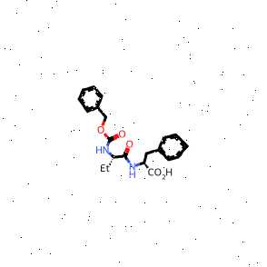 CC[C@H](NC(=O)OCc1ccccc1)C(=O)N[C@@H](Cc1ccccc1)C(=O)O